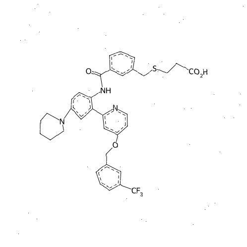 O=C(O)CCSCc1cccc(C(=O)Nc2ccc(N3CCCCC3)cc2-c2cc(OCc3cccc(C(F)(F)F)c3)ccn2)c1